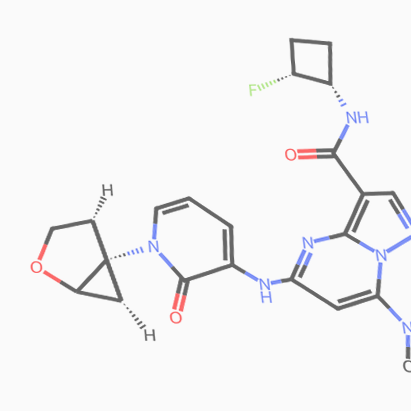 CNc1cc(Nc2cccn([C@]34C5OC[C@@H]3[C@H]54)c2=O)nc2c(C(=O)N[C@H]3CC[C@H]3F)cnn12